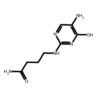 NC(=O)CCCNc1ncc(N)c(O)n1